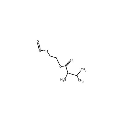 CC(C)C(N)C(=O)OCCON=O